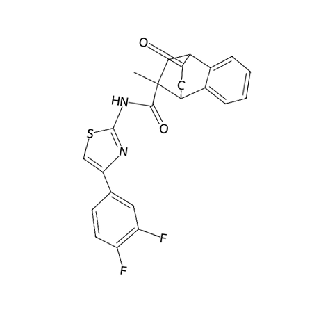 CC1(C(=O)Nc2nc(-c3ccc(F)c(F)c3)cs2)CC2C(=O)CC1c1ccccc12